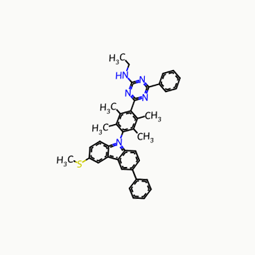 CCNc1nc(-c2ccccc2)nc(-c2c(C)c(C)c(-n3c4ccc(SC)cc4c4cc(-c5ccccc5)ccc43)c(C)c2C)n1